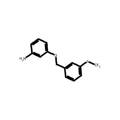 Nc1cccc(OCc2cccc(SC(F)(F)F)c2)c1